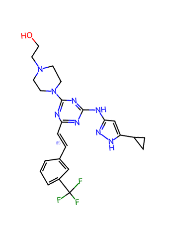 OCCN1CCN(c2nc(/C=C/c3cccc(C(F)(F)F)c3)nc(Nc3cc(C4CC4)[nH]n3)n2)CC1